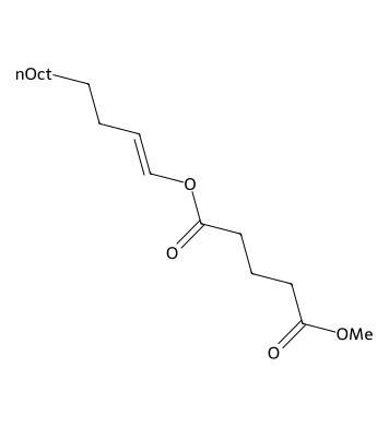 CCCCCCCCCCC=COC(=O)CCCC(=O)OC